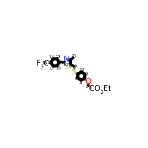 CCOC(=O)COc1ccc(SCc2sc(-c3ccc(C(F)(F)F)cc3)nc2C)cc1